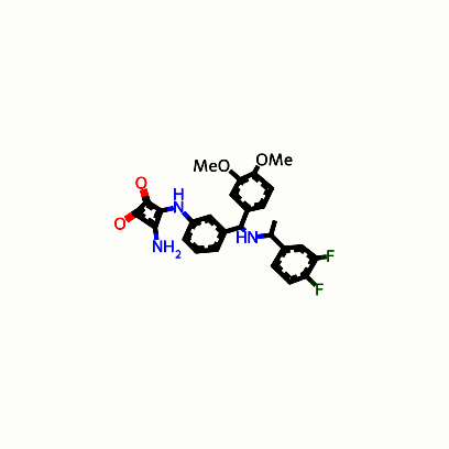 COc1ccc(C(NC(C)c2ccc(F)c(F)c2)c2cccc(Nc3c(N)c(=O)c3=O)c2)cc1OC